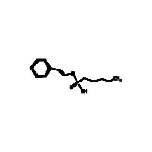 CCCCCP(=O)(O)OC=Cc1ccccc1